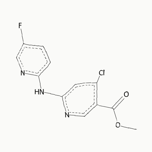 COC(=O)c1cnc(Nc2ccc(F)cn2)cc1Cl